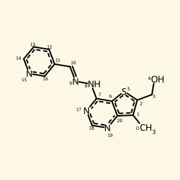 Cc1c(CO)sc2c(NN=Cc3cccnc3)ncnc12